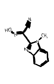 Cn1c(C(C#N)=NO)nc2ccccc21